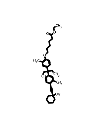 CCOC(=O)CCCCCOc1ccc(C(CC)(CC)c2ccc(C#CC3(O)CCCCC3)c(C)c2)cc1C